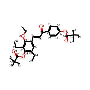 CCOc1c(C=CC(=O)c2ccc(OC(=O)C(C)(C)C)cc2)cc(CC)c(OC(=O)C(C)(C)C)c1CC